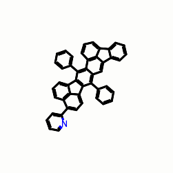 c1ccc(-c2c3cc4c5ccccc5c5cccc(c3c(-c3ccccc3)c3c6cccc7c(-c8ccccn8)ccc(c23)c76)c54)cc1